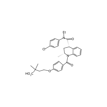 CCN(C(=O)[C@H]1C[C@@H](C)N(C(=O)c2ccc(OCCC(C)(C)C(=O)O)cc2)c2ccccc21)c1ccc(Cl)cc1